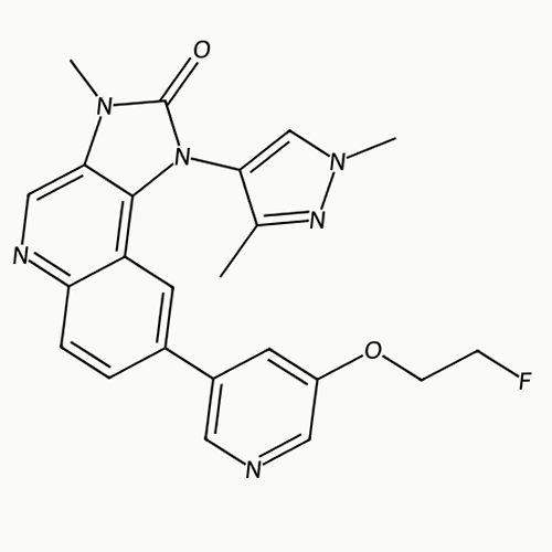 Cc1nn(C)cc1-n1c(=O)n(C)c2cnc3ccc(-c4cncc(OCCF)c4)cc3c21